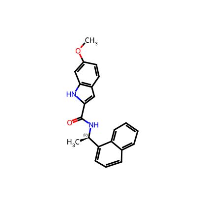 COc1ccc2cc(C(=O)N[C@H](C)c3cccc4ccccc34)[nH]c2c1